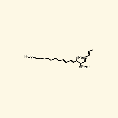 CC=CC=CC(CCCCC)C(C=CC=CCCCCCCCC(=O)O)CCCCC